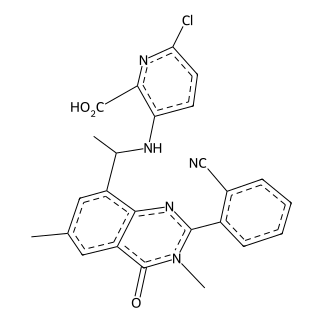 Cc1cc(C(C)Nc2ccc(Cl)nc2C(=O)O)c2nc(-c3ccccc3C#N)n(C)c(=O)c2c1